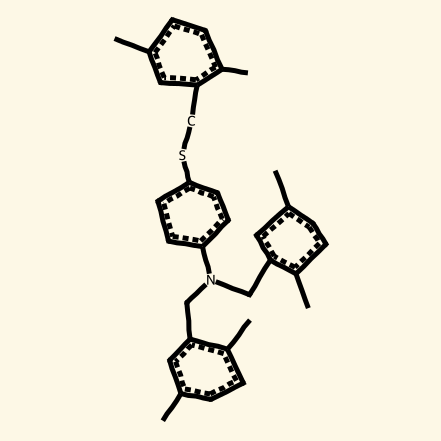 Cc1ccc(C)c(CSc2ccc(N(Cc3cc(C)ccc3C)Cc3cc(C)ccc3C)cc2)c1